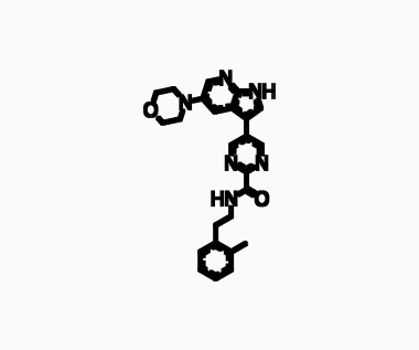 Cc1ccccc1CCNC(=O)c1ncc(-c2c[nH]c3ncc(N4CCOCC4)cc23)cn1